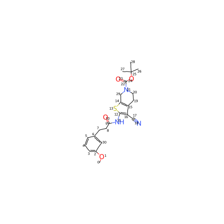 COc1cccc(CCC(=O)Nc2sc3c(c2C#N)CCN(C(=O)OC(C)(C)C)C3)c1